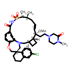 CO[C@@]1(CCN2CCN(C)C(=O)C2)/C=C/C[C@H](C)[C@@H](C)S(=O)(=O)NC(=O)c2ccc3c(c2)N(C[C@@H]2CC[C@H]21)C[C@@]1(CCCc2cc(Cl)ccc21)CO3